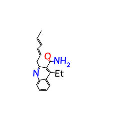 CC=CC=CCc1nc2ccccc2c(CC)c1C(N)=O